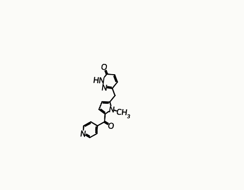 Cn1c(Cc2ccc(=O)[nH]n2)ccc1C(=O)c1ccncc1